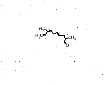 C=C/C(C)=C\C/C=C/CC(C)C=O